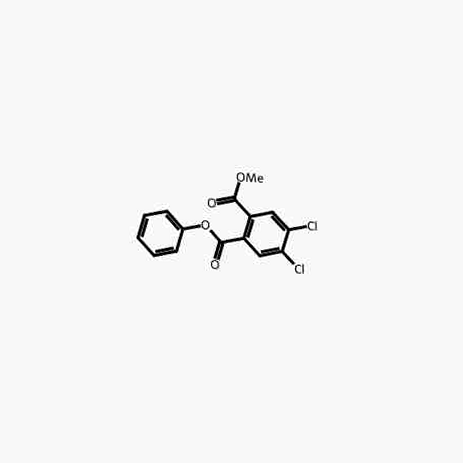 COC(=O)c1cc(Cl)c(Cl)cc1C(=O)Oc1ccccc1